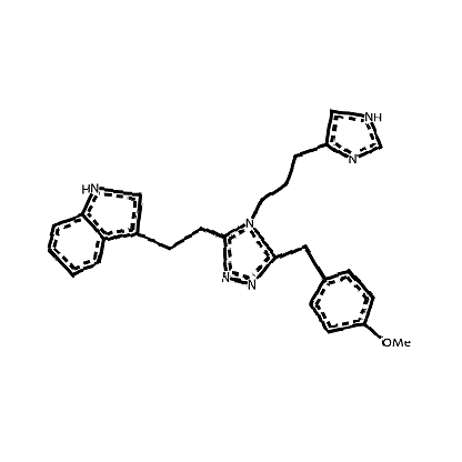 COc1ccc(Cc2nnc(CCc3c[nH]c4ccccc34)n2CCCc2c[nH]cn2)cc1